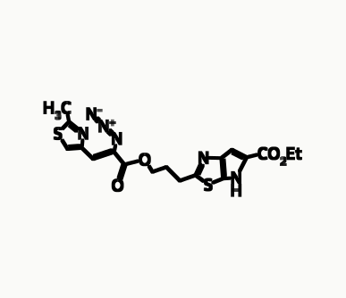 CCOC(=O)c1cc2nc(CCCOC(=O)/C(=C/c3csc(C)n3)N=[N+]=[N-])sc2[nH]1